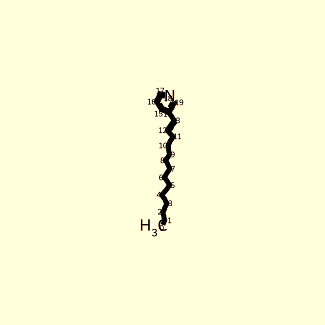 CCCCCCCCCCCCC=Cc1cccnc1